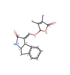 CC1=C(C)C(O/C=C2/C(=O)NC3Cc4ccccc4C23)OC1=O